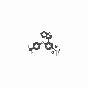 CNS(=O)(=O)c1ccc(Oc2ccc(C(F)(F)F)cc2)c(-c2cnc3n2CCC3)c1